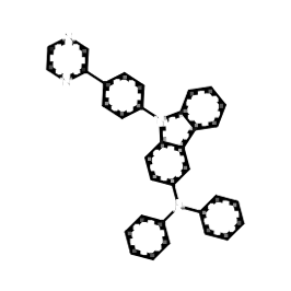 c1ccc(N(c2ccccc2)c2ccc3c(c2)c2ccccc2n3-c2ccc(-c3cnccn3)cc2)cc1